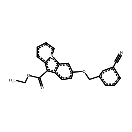 CCOC(=O)c1c2ccc(OCc3cccc(C#N)c3)cc2n2ccccc12